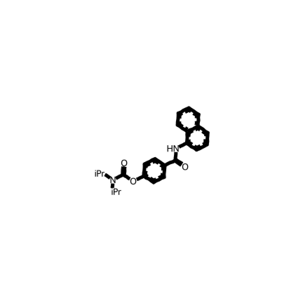 CC(C)N(C(=O)Oc1ccc(C(=O)Nc2cccc3ccccc23)cc1)C(C)C